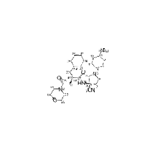 CC(C)(C)[C@H]1CC[C@H](N2CC[C@](C#N)(NC(=O)[C@@H](CC(=O)N3CCOCC3)CC3CCCCC3)C2)CC1